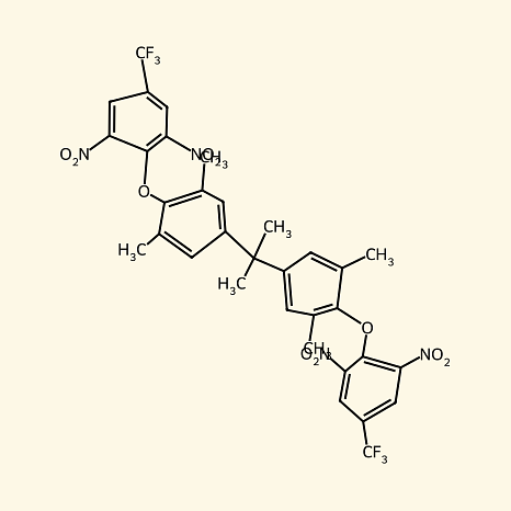 Cc1cc(C(C)(C)c2cc(C)c(Oc3c([N+](=O)[O-])cc(C(F)(F)F)cc3[N+](=O)[O-])c(C)c2)cc(C)c1Oc1c([N+](=O)[O-])cc(C(F)(F)F)cc1[N+](=O)[O-]